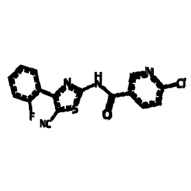 N#Cc1sc(NC(=O)c2ccc(Cl)nc2)nc1-c1ccccc1F